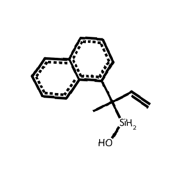 C=CC(C)([SiH2]O)c1cccc2ccccc12